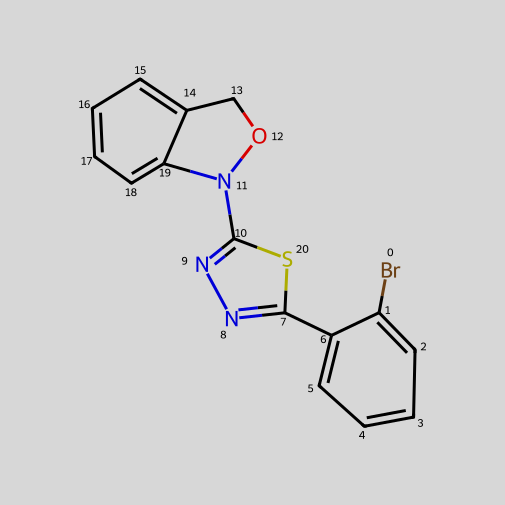 Brc1ccccc1-c1nnc(N2OCc3ccccc32)s1